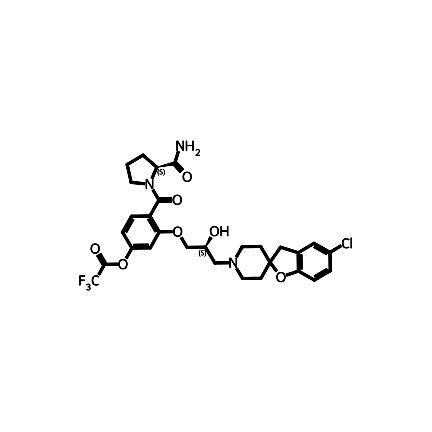 NC(=O)[C@@H]1CCCN1C(=O)c1ccc(OC(=O)C(F)(F)F)cc1OC[C@@H](O)CN1CCC2(CC1)Cc1cc(Cl)ccc1O2